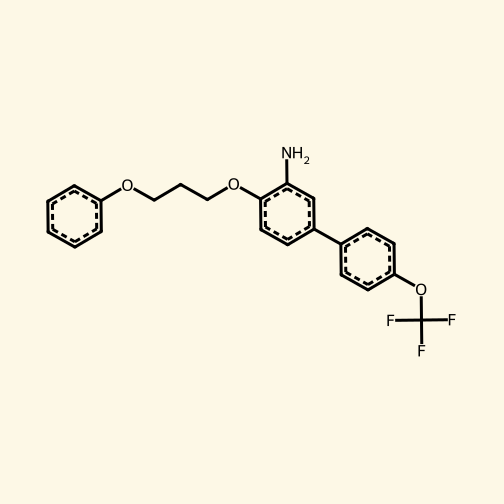 Nc1cc(-c2ccc(OC(F)(F)F)cc2)ccc1OCCCOc1ccccc1